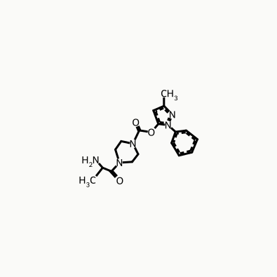 Cc1cc(OC(=O)N2CCN(C(=O)C(C)N)CC2)n(-c2ccccc2)n1